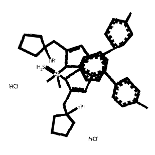 CCCC1(CC2=Cc3c(-c4ccc(C)cc4)cccc3[CH]2[Zr]([CH3])([CH3])(=[SiH2])[CH]2C(CC3(CCC)CCCC3)=Cc3c(-c4ccc(C)cc4)cccc32)CCCC1.Cl.Cl